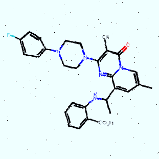 Cc1cc(C(C)Nc2ccccc2C(=O)O)c2nc(N3CCN(c4ccc(F)cc4)CC3)c(C#N)c(=O)n2c1